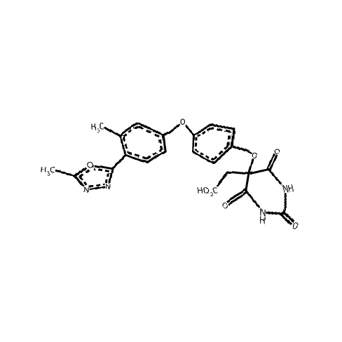 Cc1nnc(-c2ccc(Oc3ccc(OC4(CC(=O)O)C(=O)NC(=O)NC4=O)cc3)cc2C)o1